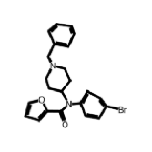 O=C(c1ccco1)N(c1ccc(Br)cc1)C1CCN(Cc2ccccc2)CC1